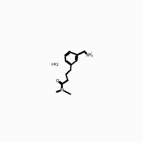 CN(C)C(=O)CCCc1cccc(CN)c1.Cl